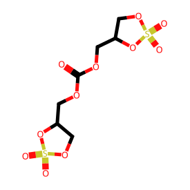 O=C(OCC1COS(=O)(=O)O1)OCC1COS(=O)(=O)O1